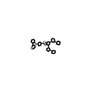 c1ccc(-c2cccc(-c3cc(-c4cccc(-c5ccccc5)c4)c4nc(-c5ccc(-n6c7ccccc7c7cnccc76)cc5)oc4c3)c2)cc1